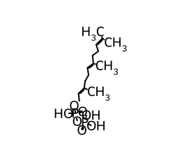 CC(C)=CCC/C(C)=C/CC/C(C)=C/COP(=O)(O)OP(=O)(O)O